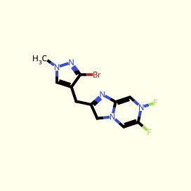 Cn1cc(CC2=NC3=CN(F)C(F)=CN3C2)c(Br)n1